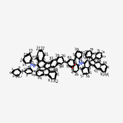 c1ccc(-c2cccc(N(c3ccccc3)c3cc4c(c5ccccc35)-c3cc5ccc(-c6cccc(-c7ccccc7N(c7ccccc7)c7cc8c(c9ccccc79)-c7cc9ccccc9cc7C87c8ccccc8-c8ccccc87)c6)cc5cc3C43c4ccccc4-c4ccccc43)c2)cc1